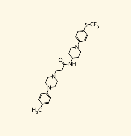 Cc1ccc(N2CCN(CCC(=O)NC3CCN(c4ccc(SC(F)(F)F)cc4)CC3)CC2)cc1